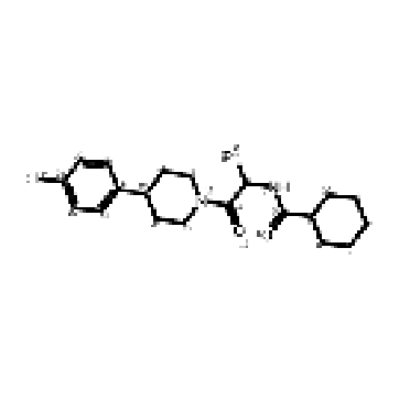 CC(C)C(NC(=O)C1CCCCC1)C(=O)N1CCC(c2ccc(Cl)cc2)CC1